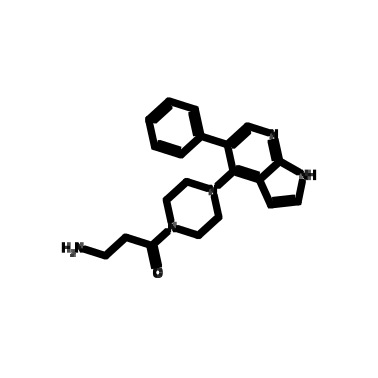 NCCC(=O)N1CCN(c2c(-c3ccccc3)cnc3[nH]ccc23)CC1